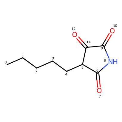 CCCCCC1C(=O)NC(=O)C1=O